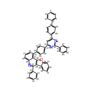 c1ccc(-c2ccc(-c3cc(-c4ccc(-c5cccc6nc(-c7ccccc7)c7c8ccccc8oc7c56)cc4)nc(-c4ccccc4)n3)cc2)cc1